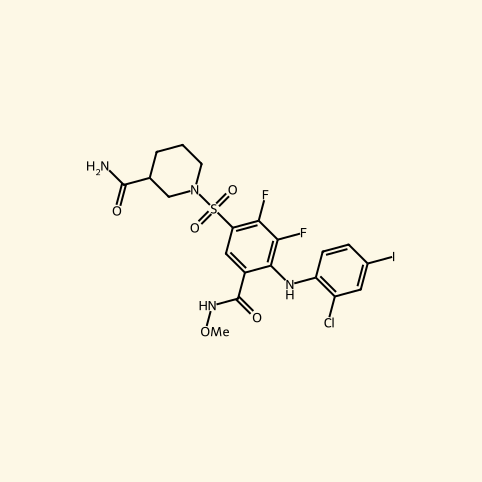 CONC(=O)c1cc(S(=O)(=O)N2CCCC(C(N)=O)C2)c(F)c(F)c1Nc1ccc(I)cc1Cl